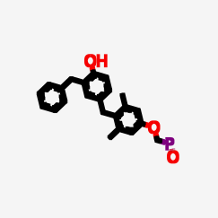 Cc1cc(OCP=O)cc(C)c1Cc1ccc(O)c(Cc2ccccc2)c1